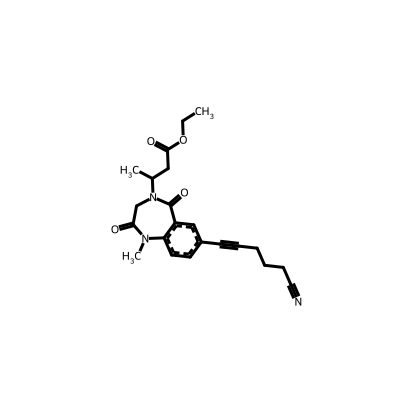 CCOC(=O)CC(C)N1CC(=O)N(C)c2ccc(C#CCCCC#N)cc2C1=O